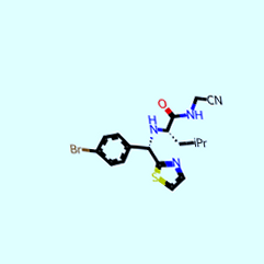 CC(C)C[C@H](N[C@@H](c1ccc(Br)cc1)c1nccs1)C(=O)NCC#N